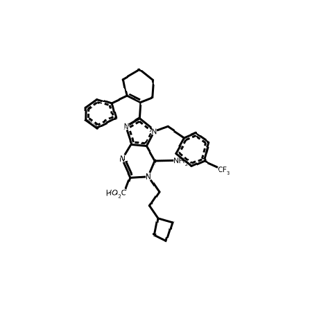 NC1c2c(nc(C3=C(c4ccccc4)CCCC3)n2Cc2ccc(C(F)(F)F)cc2)N=C(C(=O)O)N1CCC1CCC1